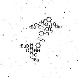 CN(CC(=O)N(CC(=O)OC(C)(C)C)Cc1cccc(C(=O)OC(C)(C)C)c1)c1ccc(OC(=O)c2ccc(N/C(=N\C(=O)OC(C)(C)C)NC(=O)OC(C)(C)C)cc2)cc1Cl